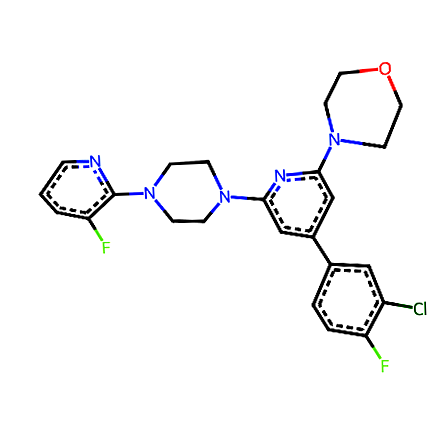 Fc1ccc(-c2cc(N3CCOCC3)nc(N3CCN(c4ncccc4F)CC3)c2)cc1Cl